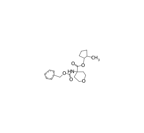 CC1CCCC1OC(=O)C1(NC(=O)OCc2ccccc2)CCOCC1